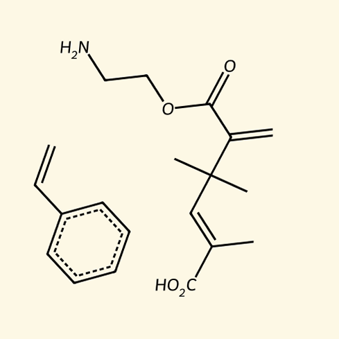 C=C(C(=O)OCCN)C(C)(C)C=C(C)C(=O)O.C=Cc1ccccc1